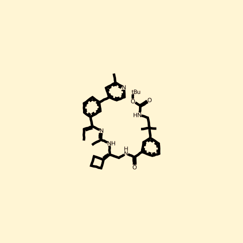 C/C=C(\N=C(/C)NC(CNC(=O)c1cccc(C(C)(C)CNC(=O)OC(C)(C)C)c1)=C1CCC1)c1cccc(-c2ccnc(C)c2)c1